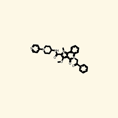 COc1c(C(=O)NC2CCN(c3ccncc3)CC2)n(C)c2c1c(=O)n(CC(=O)c1ccccc1)c1ccccc21